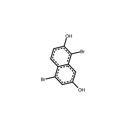 Oc1cc(Br)c2ccc(O)c(Br)c2c1